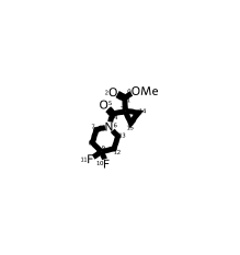 COC(=O)C1(C(=O)N2CCC(F)(F)CC2)CC1